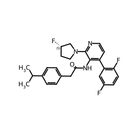 CC(C)c1ccc(CC(=O)Nc2c(-c3cc(F)ccc3F)ccnc2N2CC[C@H](F)C2)cc1